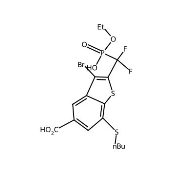 CCCCSc1cc(C(=O)O)cc2c(Br)c(C(F)(F)P(=O)(O)OCC)sc12